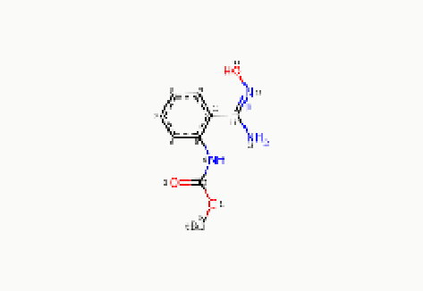 CC(C)(C)OC(=O)Nc1ccccc1/C(N)=N\O